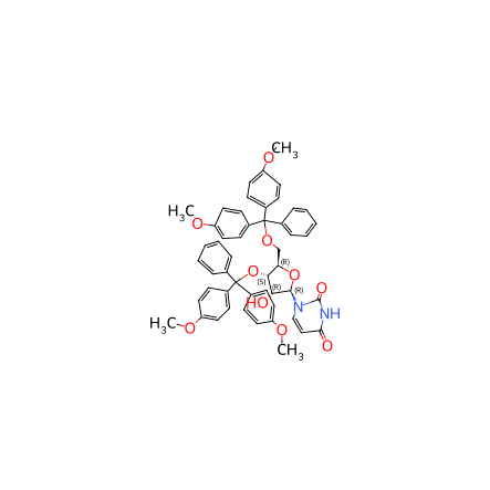 COc1ccc(C(OC[C@H]2O[C@@H](n3ccc(=O)[nH]c3=O)[C@H](O)[C@@H]2OC(c2ccccc2)(c2ccc(OC)cc2)c2ccc(OC)cc2)(c2ccccc2)c2ccc(OC)cc2)cc1